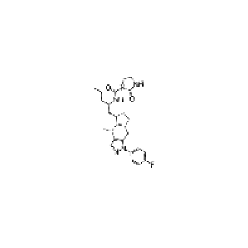 CCCC(C[C@H]1CCC2=C1[C@@H](C)c1cnn(-c3ccc(F)cc3)c1C2)NC(=O)N1CCNC1=O